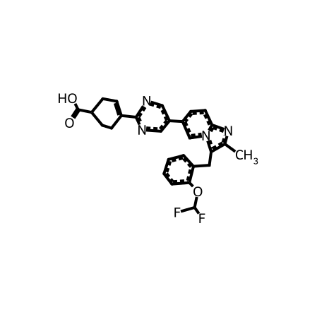 Cc1nc2ccc(-c3cnc(C4=CCC(C(=O)O)CC4)nc3)cn2c1Cc1ccccc1OC(F)F